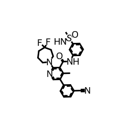 Cc1c(-c2cccc(C#N)c2)cnc(N2CCCC(F)(F)CC2)c1C(=O)Nc1cccc(S(C)(=N)=O)c1